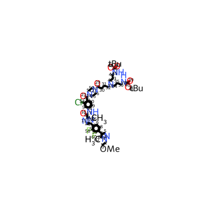 COCCn1ncc(-c2ccc(-c3cnc(C(=O)Nc4ccc(C(=O)N5CCN(C(=O)CCCN(CCCNC(=O)OC(C)(C)C)CCCNC(=O)OC(C)(C)C)CC5)c(Cl)c4)n3C)c(F)c2F)c1C